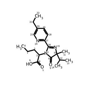 CCCC(C(=O)O)N1C(=O)C(C)(C(C)C)N=C1c1ccc(CC)cn1